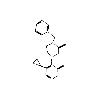 O=C1CN(c2c(C3CC3)cn[nH]c2=O)CCN1Cc1ccccc1C(F)(F)F